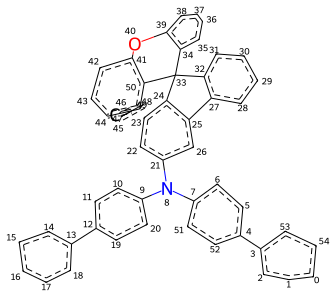 c1ccc(-c2ccc(N(c3ccc(-c4ccccc4)cc3)c3ccc4c(c3)-c3ccccc3C43c4ccccc4Oc4ccc5ccccc5c43)cc2)cc1